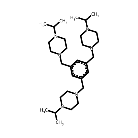 CC(C)N1CCN(Cc2cc(CN3CCN(C(C)C)CC3)cc(CN3CCN(C(C)C)CC3)c2)CC1